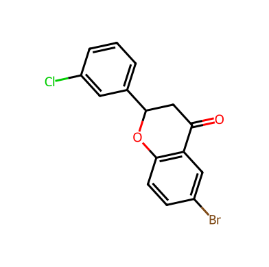 O=C1CC(c2cccc(Cl)c2)Oc2ccc(Br)cc21